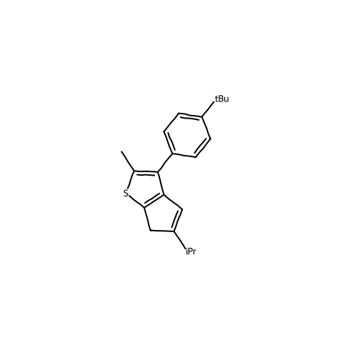 Cc1sc2c(c1-c1ccc(C(C)(C)C)cc1)C=C(C(C)C)C2